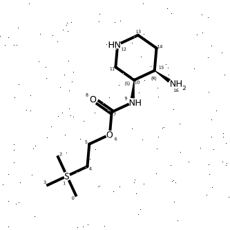 CS(C)(C)CCOC(=O)N[C@H]1CNCC[C@H]1N